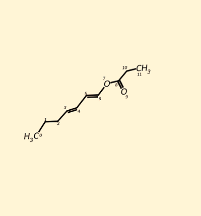 CCC/C=C/C=C/OC(=O)CC